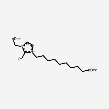 CCCCCCCCCCCCCCCCCCC[n+]1ccn(CCCCCCCCCCC)c1C(C)C